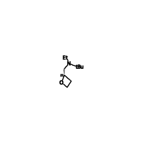 CCN(C[C@@H]1CCO1)C(C)(C)C